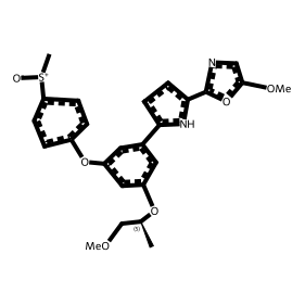 COC[C@H](C)Oc1cc(Oc2ccc([S+](C)[O-])cc2)cc(-c2ccc(-c3ncc(OC)o3)[nH]2)c1